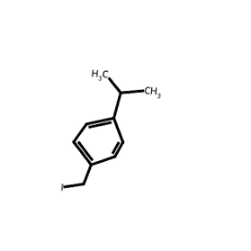 CC(C)c1ccc(CI)cc1